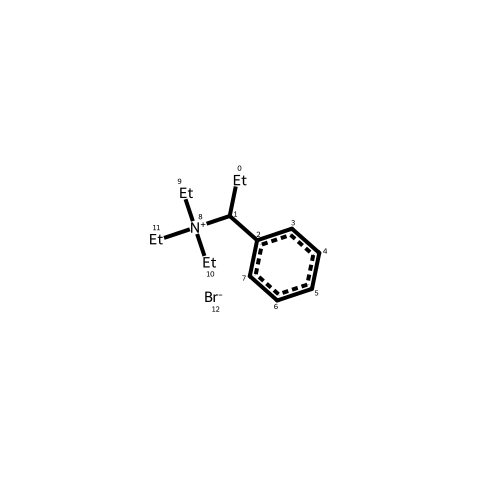 CCC(c1ccccc1)[N+](CC)(CC)CC.[Br-]